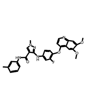 COc1cc2nccc(Oc3ccc(Nc4nn(C)cc4C(=O)Nc4cccc(C)c4)cc3F)c2cc1OC